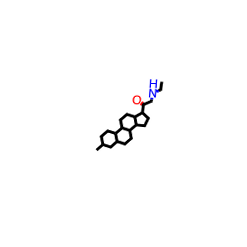 CCNCC(=O)C1CCC2C1CCC1C3CCC(C)CC3CCC12